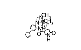 C[C@H]1CN(c2ccc(C3C#CCC3)cc2NC(=O)c2c[nH]c(=O)cc2C(F)(F)F)CCN1C